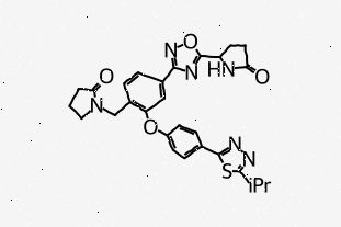 CC(C)c1nnc(-c2ccc(Oc3cc(-c4noc(C5CCC(=O)N5)n4)ccc3CN3CCCC3=O)cc2)s1